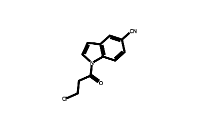 N#Cc1ccc2c(ccn2C(=O)CCCl)c1